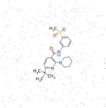 CC(C)(C)c1ccc(C(=O)Nc2cccc(S(C)(=O)=O)c2)c(N2CCCCC2)n1